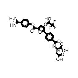 N=C(N)c1ccc(OC(=O)c2ccc(-c3ccc(C(=O)N[C@@H](CC(=O)O)C(=O)O)cc3)o2)cc1.O=C(O)C(F)(F)F